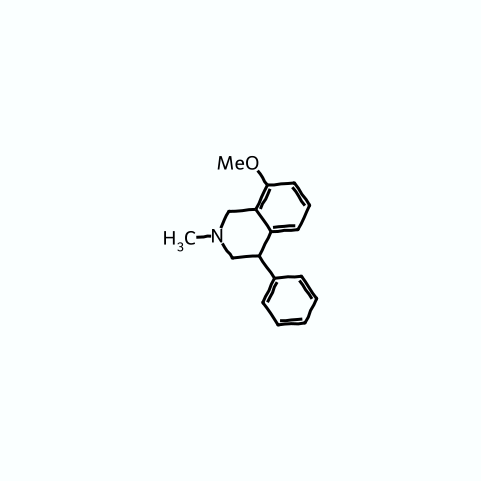 COc1cccc2c1CN(C)CC2c1ccccc1